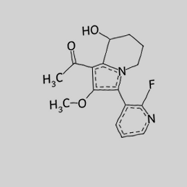 COc1c(C(C)=O)c2n(c1-c1cccnc1F)CCCC2O